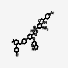 CC(=O)N1CCC(C2COc3cc(S(=O)(=O)NC(=O)c4ccc(N5CCN(CC6=C(c7ccc(Cl)cc7)CC(C)(C)CC6)CC5)cc4Oc4cnc5[nH]ccc5c4)cc([N+](=O)[O-])c3N2)CC1